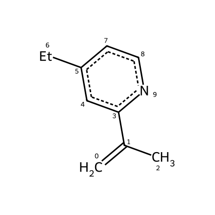 C=C(C)c1cc(CC)ccn1